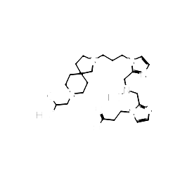 CC(C)CN1CCC2(CC1)CCN(CCCn1ccnc1CN(C)Cc1nccn1CCC(=O)O)C2